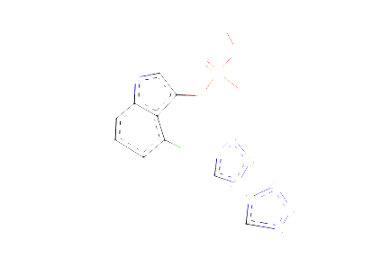 Cl.O=P(O)(OBr)Oc1c[nH]c2cccc(Cl)c12.c1nnn[nH]1.c1nnn[nH]1